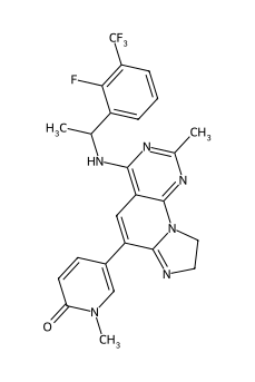 Cc1nc(NC(C)c2cccc(C(F)(F)F)c2F)c2c(n1)N1CCN=C1C(c1ccc(=O)n(C)c1)=C2